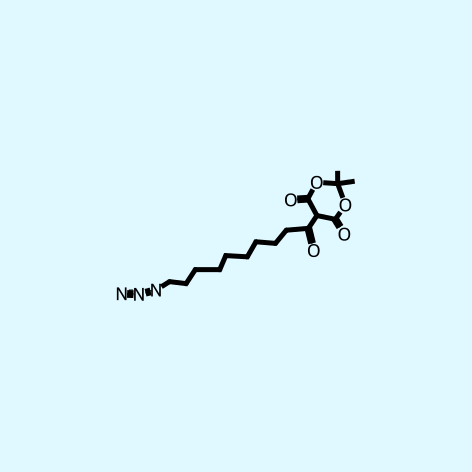 CC1(C)OC(=O)C(C(=O)CCCCCCCCCN=[N+]=[N-])C(=O)O1